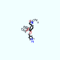 CC(C)(C)OC=O.Cn1nc(-c2ccc(OCC3CCNCC3)cc2)ccc1=O